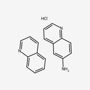 Cl.Nc1ccc2ncccc2c1.c1ccc2ncccc2c1